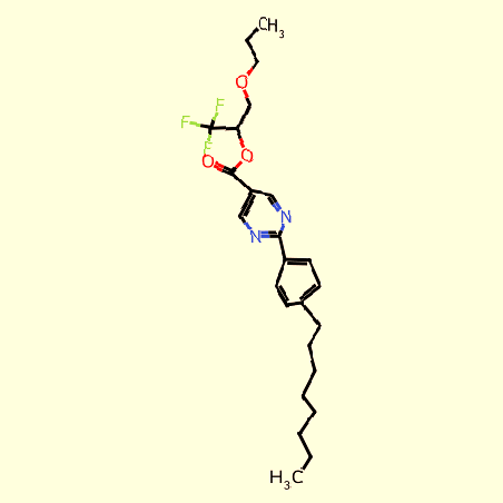 CCCCCCCCc1ccc(-c2ncc(C(=O)OC(COCCC)C(F)(F)F)cn2)cc1